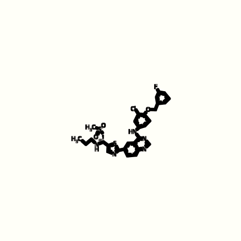 CCCN[C@H](CS(C)(=O)=O)c1cnc(-c2ccc3ncnc(Nc4ccc(OCc5cccc(F)c5)c(Cl)c4)c3c2)s1